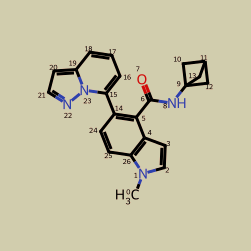 Cn1ccc2c(C(=O)NC34CC(C3)C4)c(-c3cccc4ccnn34)ccc21